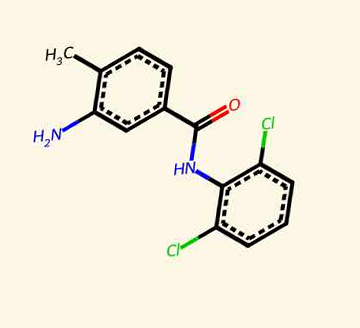 Cc1ccc(C(=O)Nc2c(Cl)cccc2Cl)cc1N